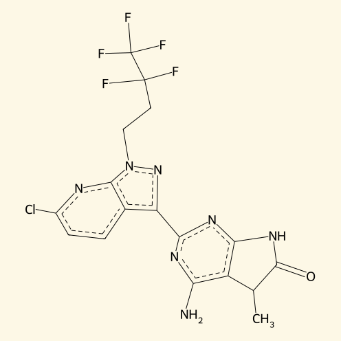 CC1C(=O)Nc2nc(-c3nn(CCC(F)(F)C(F)(F)F)c4nc(Cl)ccc34)nc(N)c21